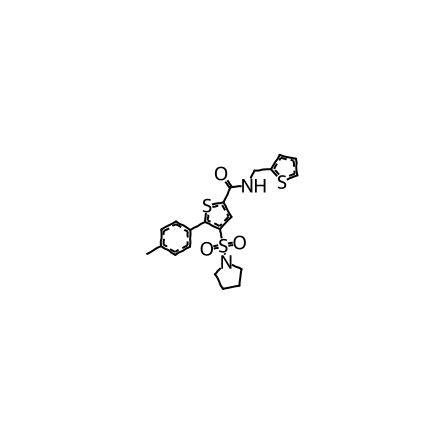 Cc1ccc(-c2sc(C(=O)NCc3cccs3)cc2S(=O)(=O)N2CCCC2)cc1